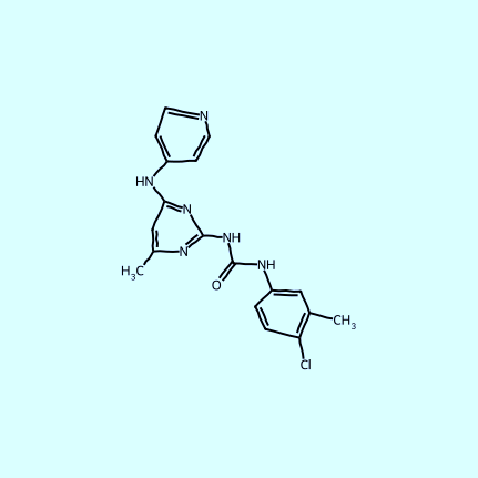 Cc1cc(Nc2ccncc2)nc(NC(=O)Nc2ccc(Cl)c(C)c2)n1